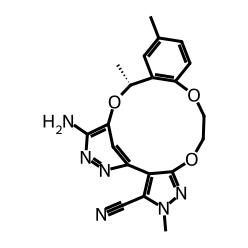 Cc1ccc2c(c1)[C@@H](C)Oc1cc(nnc1N)-c1c(nn(C)c1C#N)OCCO2